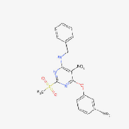 CS(=O)(=O)c1nc(NCc2ccccc2)c([N+](=O)[O-])c(Oc2cccc([N+](=O)[O-])c2)n1